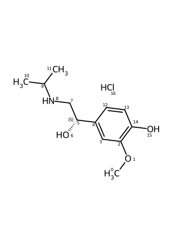 COc1cc([C@H](O)CNC(C)C)ccc1O.Cl